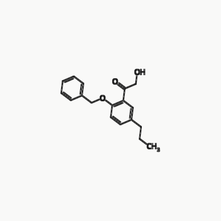 CCCc1ccc(OCc2ccccc2)c(C(=O)CO)c1